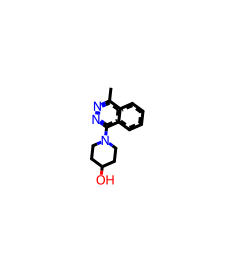 Cc1nnc(N2CCC(O)CC2)c2ccccc12